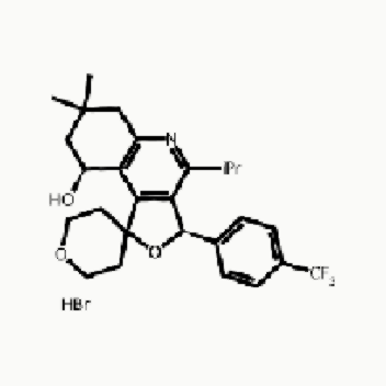 Br.CC(C)c1nc2c(c3c1[C@@H](c1ccc(C(F)(F)F)cc1)OC31CCOCC1)[C@@H](O)CC(C)(C)C2